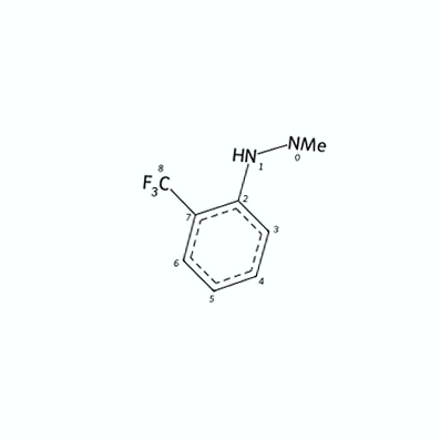 CNNc1ccccc1C(F)(F)F